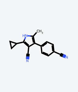 Cc1[nH]c(C2CC2)c(C#N)c1-c1ccc(C#N)cc1